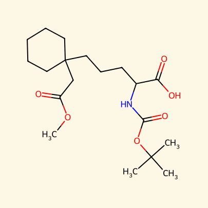 COC(=O)CC1(CCCC(NC(=O)OC(C)(C)C)C(=O)O)CCCCC1